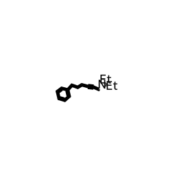 CCN(CC)CC#CCCCc1ccccc1